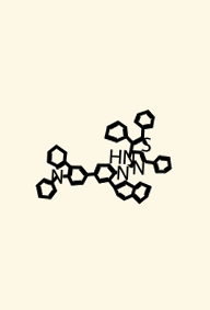 C1=Cc2c(c3cc(-c4ccc5c(c4)c4ccc6ccccc6c4n5C4=NC(c5ccccc5)=C5SC(c6ccccc6)=C(c6ccccc6)C5N4)ccc3n2-c2ccccc2)CC1